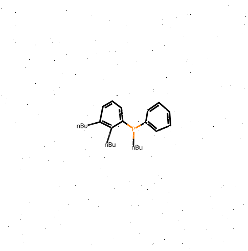 CCCCc1cccc(P(CCCC)c2ccccc2)c1CCCC